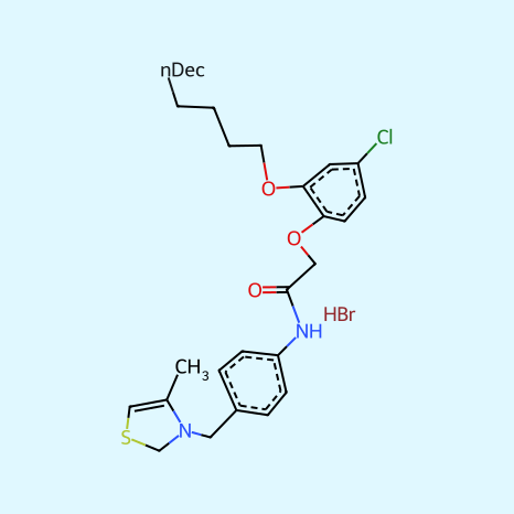 Br.CCCCCCCCCCCCCCOc1cc(Cl)ccc1OCC(=O)Nc1ccc(CN2CSC=C2C)cc1